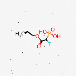 C=CCOC(=O)C(F)P(=O)(O)O